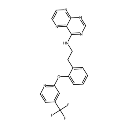 FC(F)(F)c1ccnc(Oc2ccccc2CCNc2ncnc3nccnc23)c1